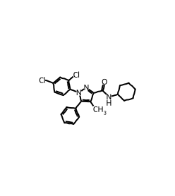 Cc1c(C(=O)NC2CCCCC2)nn(-c2ccc(Cl)cc2Cl)c1-c1ccccc1